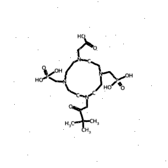 CC(C)(C)C(=O)CN1CCN(CP(=O)(O)O)CCN(CC(=O)O)CCN(CP(=O)(O)O)CC1